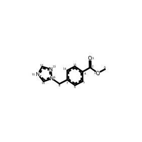 COC(=O)c1ccc(Cn2cncn2)cc1